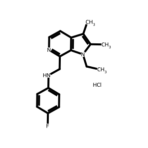 CCn1c(C)c(C)c2ccnc(CNc3ccc(F)cc3)c21.Cl